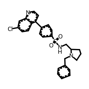 O=S(=O)(NCC1CCCN1Cc1ccccc1)c1ccc(-c2ccnc3cc(Cl)ccc23)cc1